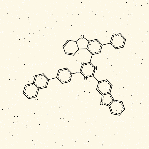 C1=CC2Oc3cc(-c4ccccc4)cc(-c4nc(-c5ccc(-c6ccc7ccccc7c6)cc5)nc(-c5ccc6c(c5)oc5ccccc56)n4)c3C2C=C1